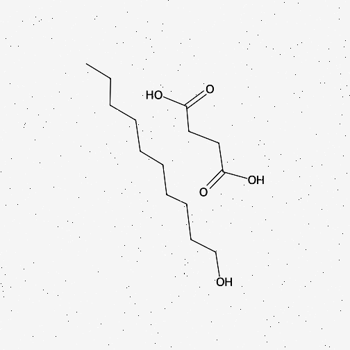 CCCCCCCCCCO.O=C(O)CCC(=O)O